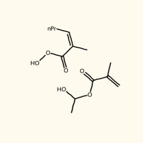 C=C(C)C(=O)OC(C)O.CCCC=C(C)C(=O)OO